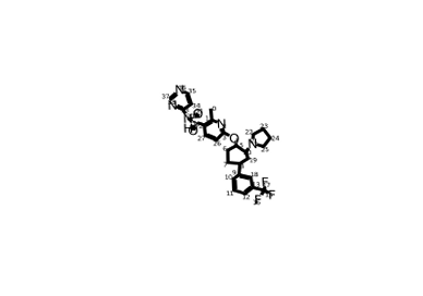 Cc1nc(OC2CCC(c3cccc(C(F)(F)F)c3)CC2N2CCCC2)ccc1S(=O)(=O)Nc1ccncn1